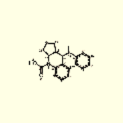 O=C(O)N1c2ccccc2C(Nc2ccccc2)C2CCCC21